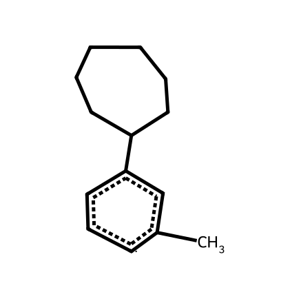 Cc1[c]ccc(C2CCCCCC2)c1